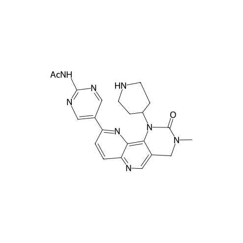 CC(=O)Nc1ncc(-c2ccc3ncc4c(c3n2)N(C2CCNCC2)C(=O)N(C)C4)cn1